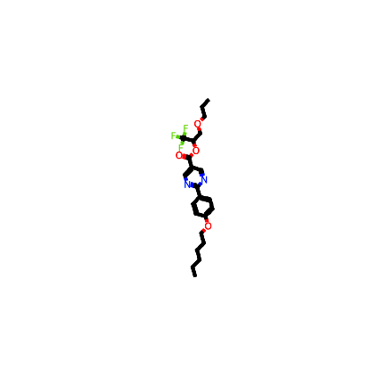 CCCCCCOc1ccc(-c2ncc(C(=O)OC(COCCC)C(F)(F)F)cn2)cc1